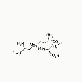 CSCC[C@H](N)C(=O)O.C[C@H](N)C(=O)O.N[C@@H](CO)C(=O)O